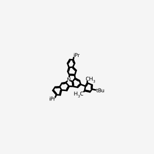 Cc1cc(C(C)(C)C)cc(C)c1-c1cc2c3cc4cc(C(C)C)ccc4cc3n3c4cc5ccc(C(C)C)cc5cc4c(c1)c23